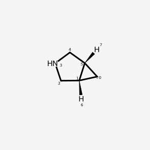 [CH]1[C@@H]2CNC[C@H]12